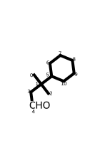 CC(C)(CC=O)C1CCCCC1